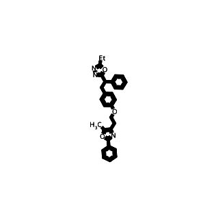 CCc1nnc(C(Cc2ccc(OCCc3nc(-c4ccccc4)oc3C)cc2)c2ccccc2)o1